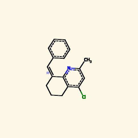 Cc1cc(Cl)c2c(n1)/C(=C\c1ccccc1)CCC2